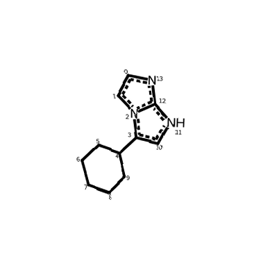 c1cn2c(C3CCCCC3)c[nH]c2n1